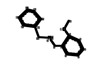 COc1ccccc1CPCc1ccccc1